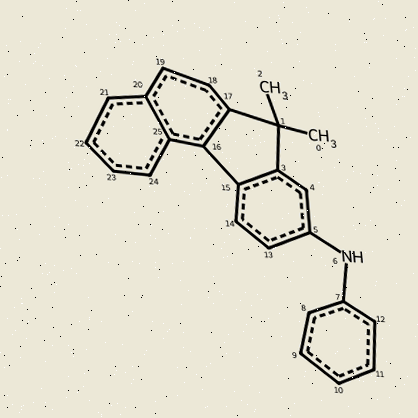 CC1(C)c2cc(Nc3ccccc3)ccc2-c2c1ccc1ccccc21